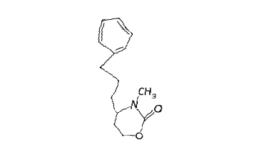 CN1C(=O)OCCC1CCCc1ccccc1